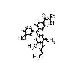 CC=CCN1C(C)CN(C(c2ccc(C(=O)N(CC)CC)cc2)c2cccc(O)c2)CC1C